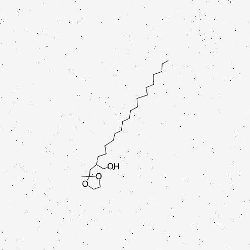 CCCCCCCCCCCCCCCCCCC(CO)CC1(C)OCCO1